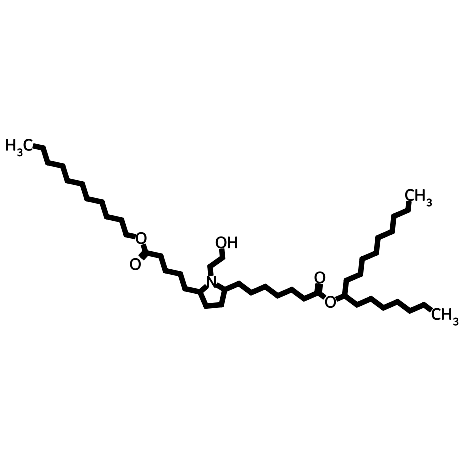 CCCCCCCCCCCOC(=O)CCCCC1CCC(CCCCCCC(=O)OC(CCCCCCC)CCCCCCCCC)N1CCO